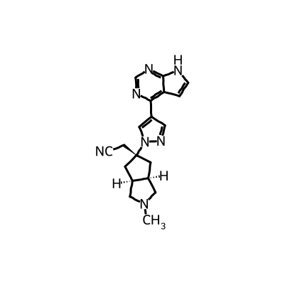 CN1C[C@@H]2C[C@@](CC#N)(n3cc(-c4ncnc5[nH]ccc45)cn3)C[C@@H]2C1